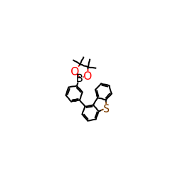 CC1(C)OB(c2cccc(-c3cccc4sc5ccccc5c34)c2)OC1(C)C